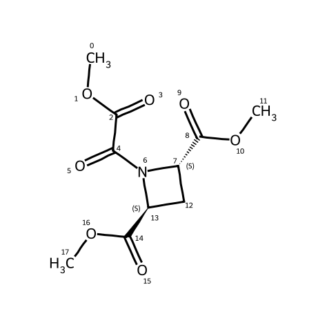 COC(=O)C(=O)N1[C@H](C(=O)OC)C[C@H]1C(=O)OC